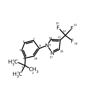 CC(C)(C)c1cccc(-n2cc(C(F)(F)F)cn2)c1